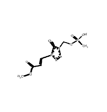 COC(=O)/C=C/n1nnn(COP(C)(=O)O)c1=O